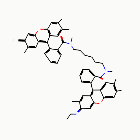 C=c1cc2c(cc1C)=C(c1ccccc1C(=O)N(C)CCCCCCN(C)C(=O)c1ccccc1-c1c3cc(C)/c(=N\CC)cc-3oc3cc(C)c(C)cc13)c1cc(C)c(C)cc1O2